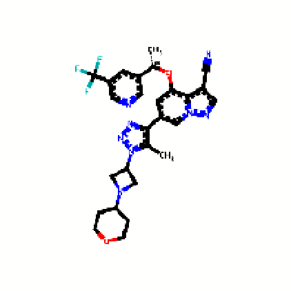 Cc1c(-c2cc(O[C@@H](C)c3cncc(C(F)(F)F)c3)c3c(C#N)cnn3c2)nnn1C1CN(C2CCOCC2)C1